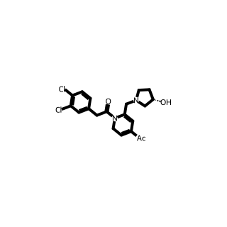 CC(=O)C1=CCN(C(=O)Cc2ccc(Cl)c(Cl)c2)C(CN2CC[C@H](O)C2)=C1